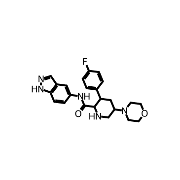 O=C(Nc1ccc2[nH]ncc2c1)C1NCC(N2CCOCC2)CC1c1ccc(F)cc1